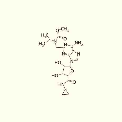 COC(=O)N(Cc1nc(N)c2ncn([C@@H]3O[C@H](C(=O)NC4CC4)C(O)C3O)c2n1)C(C)C